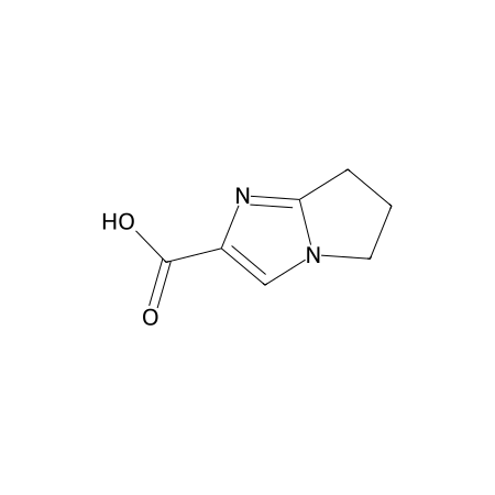 O=C(O)c1cn2c(n1)CCC2